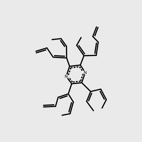 C=C/C=C\C(=C/C)c1nc(C(/C=C\C)=C/C)c(C(/C=C\C)=C/C=C)nc1C(/C=C\C)=C/C=C